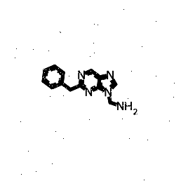 NCn1cnc2cnc(Cc3ccccc3)nc21